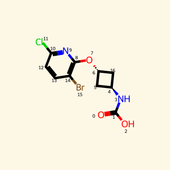 O=C(O)N[C@H]1C[C@H](Oc2nc(Cl)ccc2Br)C1